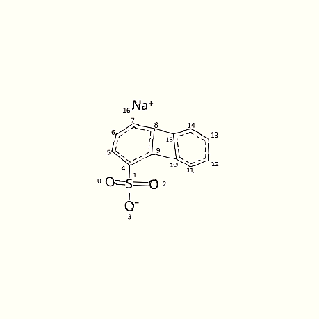 O=S(=O)([O-])c1cccc2c1-c1ccccc1-2.[Na+]